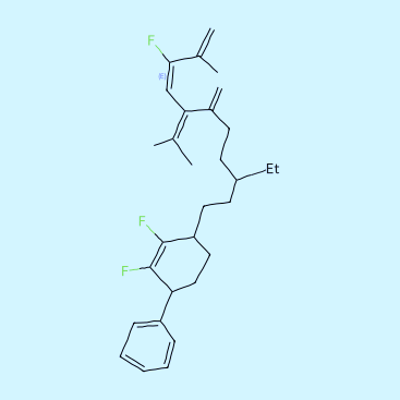 C=C(CCC(CC)CCC1CCC(c2ccccc2)C(F)=C1F)C(/C=C(/F)C(=C)C)=C(C)C